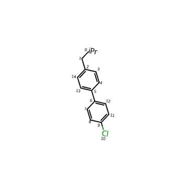 CC(C)Cc1ccc(-c2ccc(Cl)cc2)cc1